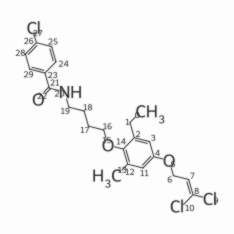 CCc1cc(OCC=C(Cl)Cl)cc(C)c1OCCCCNC(=O)c1ccc(Cl)cc1